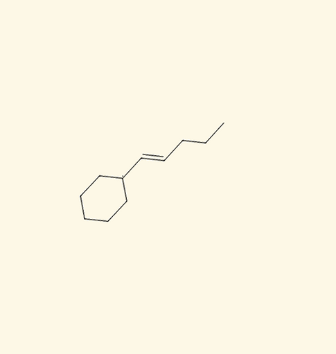 CCC/C=C/[C]1CCCCC1